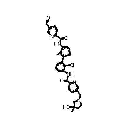 Cc1c(NC(=O)c2ccc(C=O)cn2)cccc1-c1cccc(NC(=O)c2ccc(CN3CCC(C)(O)C3)cn2)c1Cl